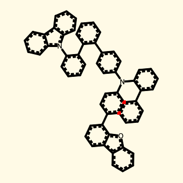 c1ccc(-c2ccccc2N(c2ccc(-c3ccccc3-c3ccccc3-n3c4ccccc4c4ccccc43)cc2)c2ccc(-c3cccc4c3oc3ccccc34)cc2)cc1